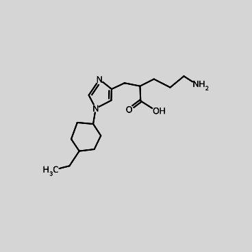 CCC1CCC(n2cnc(CC(CCCN)C(=O)O)c2)CC1